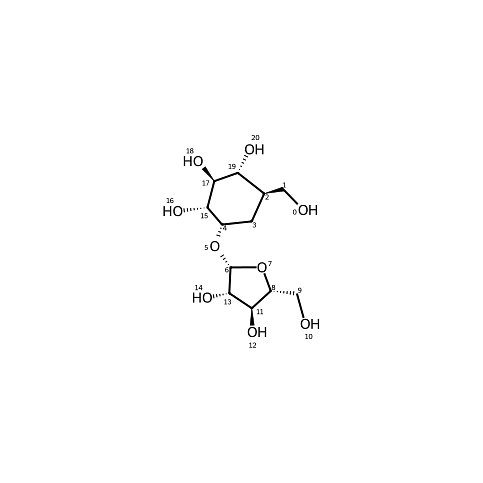 OC[C@H]1C[C@H](O[C@@H]2O[C@H](CO)[C@@H](O)[C@@H]2O)[C@H](O)[C@@H](O)[C@@H]1O